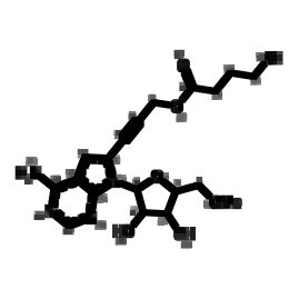 COCC1OC(n2c(C#CCOC(=O)CCCS)cc3c(N)ncnc32)C(O)C1O